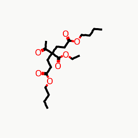 CCCCOC(=O)CCC(CCC(=O)OCCCC)(C(C)=O)C(=O)OCC